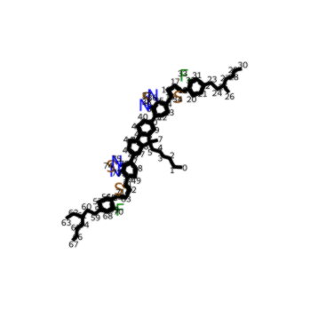 CCCCCCC1(C)c2cc(-c3ccc(-c4ccc(-c5ccc(CCC(C)CCCC)cc5F)s4)c4nsnc34)ccc2-c2ccc(-c3ccc(-c4ccc(-c5ccc(CCC(CC)CCCC)cc5F)s4)c4nsnc34)cc21